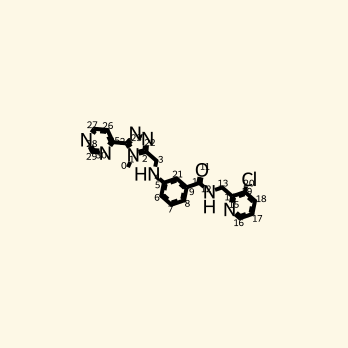 Cn1c(CNc2cccc(C(=O)NCc3ncccc3Cl)c2)nnc1-c1ccncn1